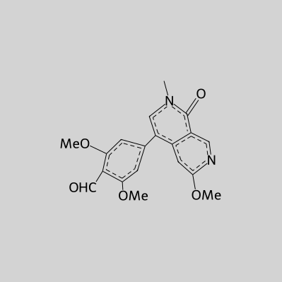 COc1cc2c(-c3cc(OC)c(C=O)c(OC)c3)cn(C)c(=O)c2cn1